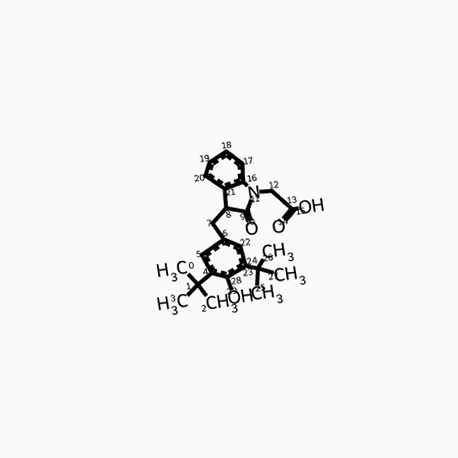 CC(C)(C)c1cc(CC2C(=O)N(CC(=O)O)c3ccccc32)cc(C(C)(C)C)c1O